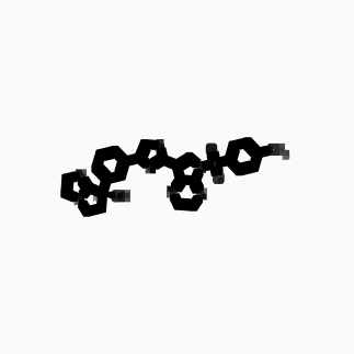 Cc1ccc(S(=O)(=O)n2cc(-c3nc(-c4cccc([C@@]5(O)CCn6ccnc65)c4)cs3)c3nccnc32)cc1